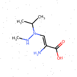 CNN(/C=C(\N)C(=O)O)C(C)C